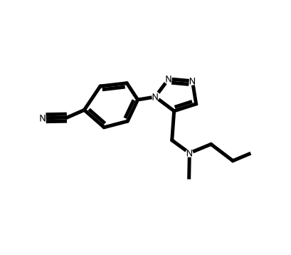 CCCN(C)Cc1cnnn1-c1ccc(C#N)cc1